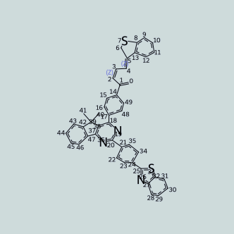 C=C(/C=C\C=C1/CSc2ccccc21)c1ccc(-c2nc(-c3ccc(-c4nc5ccccc5s4)cc3)nc3c2C(C)(C)c2ccccc2-3)cc1